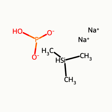 C[SiH](C)C.[Na+].[Na+].[O-]P([O-])O